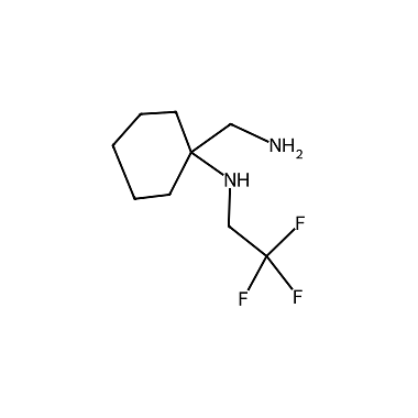 NCC1(NCC(F)(F)F)CCCCC1